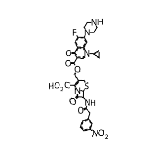 O=C(Cc1cccc([N+](=O)[O-])c1)NC1C(=O)N2C(C(=O)O)=C(COC(=O)c3cn(C4CC4)c4cc(N5CCNCC5)c(F)cc4c3=O)CSC12